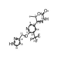 CC1OC(=O)NN=C1c1cnc(OCc2cc[nH]n2)c(C(F)(F)F)c1